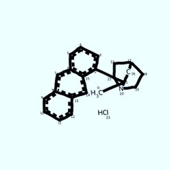 CC1(c2cccc3cc4ccccc4cc23)CC2CCN1CC2.Cl